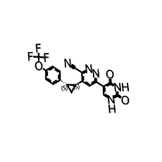 N#Cc1nnc(-c2c[nH]c(=O)[nH]c2=O)cc1[C@H]1C[C@@H]1c1ccc(OC(F)(F)F)cc1